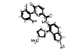 CCn1cc2c(N3CC[C@@H](N)C3)c(NC(=O)c3ccc(=O)n(-c4c(F)cccc4F)n3)ccc2n1